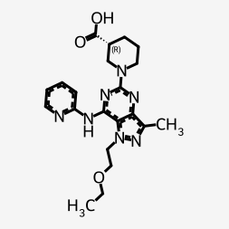 CCOCCn1nc(C)c2nc(N3CCC[C@@H](C(=O)O)C3)nc(Nc3ccccn3)c21